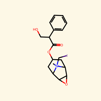 C[N+]1(CI)C2CC(OC(=O)C(CO)c3ccccc3)CC1C1OC12